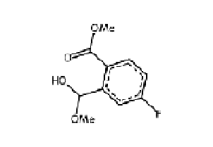 COC(=O)c1ccc(F)cc1C(O)OC